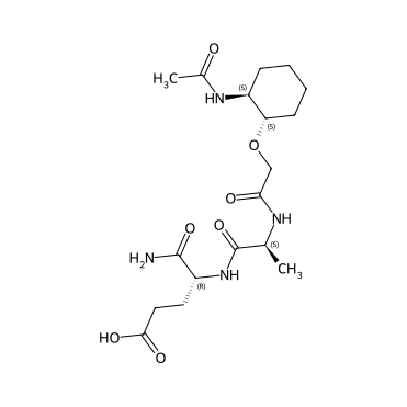 CC(=O)N[C@H]1CCCC[C@@H]1OCC(=O)N[C@@H](C)C(=O)N[C@H](CCC(=O)O)C(N)=O